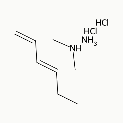 C=CC=CCC.CNC.Cl.Cl.N